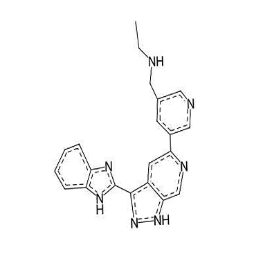 CCNCc1cncc(-c2cc3c(-c4nc5ccccc5[nH]4)n[nH]c3cn2)c1